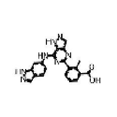 Cc1c(C(=O)O)cccc1-c1nc(Nc2ccc3cn[nH]c3c2)c2[nH]ncc2n1